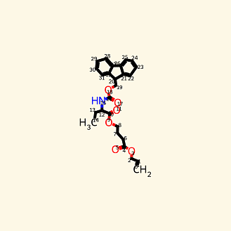 C=CCOC(=O)CCCOC(=O)C(CC)NC(=O)OCC1c2ccccc2-c2ccccc21